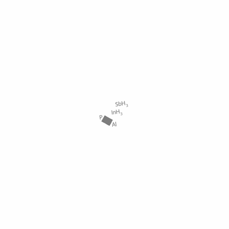 [Al]#[P].[InH3].[SbH3]